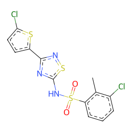 Cc1c(Cl)cccc1S(=O)(=O)Nc1nc(-c2ccc(Cl)s2)ns1